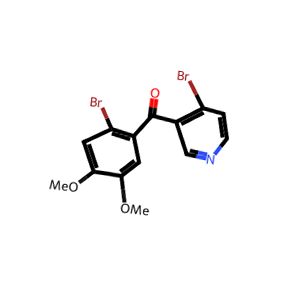 COc1cc(Br)c(C(=O)c2cnccc2Br)cc1OC